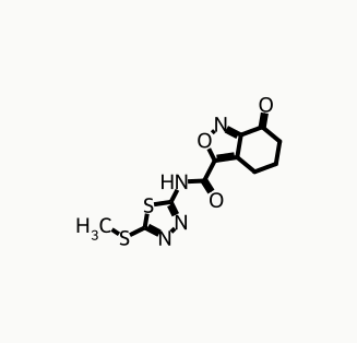 CSc1nnc(NC(=O)c2onc3c2CCCC3=O)s1